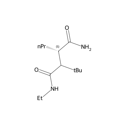 CCC[C@H](C(N)=O)C(C(=O)NCC)C(C)(C)C